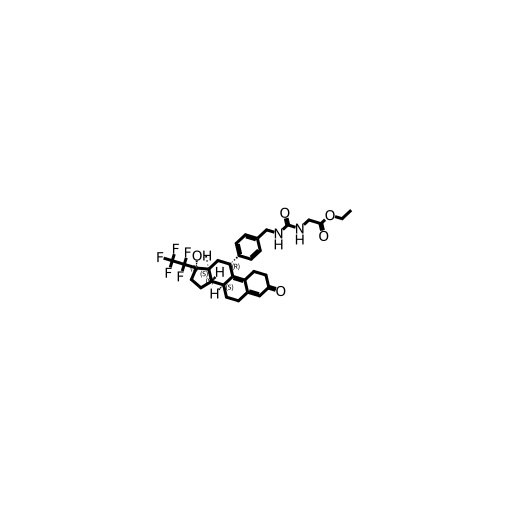 CCOC(=O)CNC(=O)NCc1ccc([C@H]2C[C@@]3(C)[C@@H](CC[C@@]3(O)C(F)(F)C(F)(F)F)[C@@H]3CCC4=CC(=O)CCC4=C32)cc1